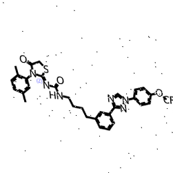 Cc1ccc(C)c(N2C(=O)CS/C2=N\C(=O)NCCCCc2cccc(-c3ncn(-c4ccc(OC(F)(F)F)cc4)n3)c2)c1